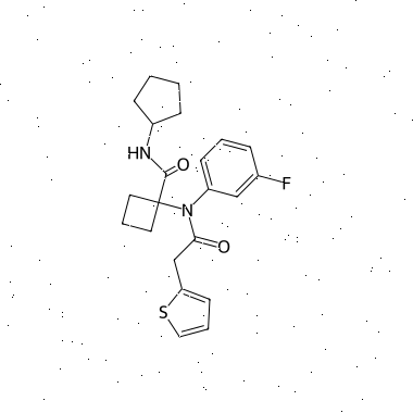 O=C(Cc1cccs1)N(c1cccc(F)c1)C1(C(=O)NC2CCCC2)CCC1